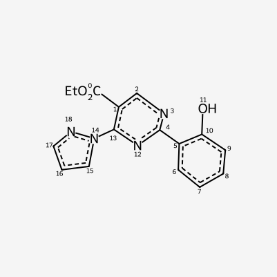 CCOC(=O)c1cnc(-c2ccccc2O)nc1-n1cccn1